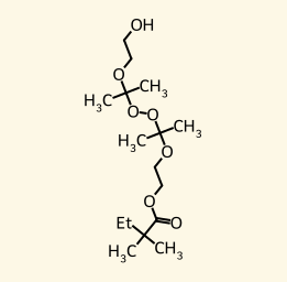 CCC(C)(C)C(=O)OCCOC(C)(C)OOC(C)(C)OCCO